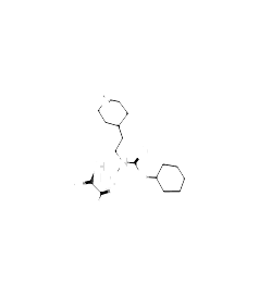 CN(CCC1CCNCC1)C(=O)OC1CCCCC1.O=C(O)C(=O)O